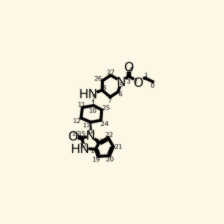 CCOC(=O)N1CCC(N[C@H]2CC[C@H](n3c(=O)[nH]c4ccccc43)CC2)CC1